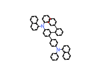 c1ccc(-c2ccccc2-c2cc(N(c3ccccc3)c3cccc4ccccc34)ccc2-c2ccc(N(c3ccccc3)c3cccc4ccccc34)cc2)cc1